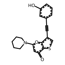 O=c1cc(N2CCCCC2)oc2c(C#Cc3cccc(O)c3)csc12